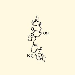 CC(C)(C#N)c1ccc(CCC2(C3CCCC3)CC(O)=C(Cc3cn[nH]c3)C(=O)O2)cc1F